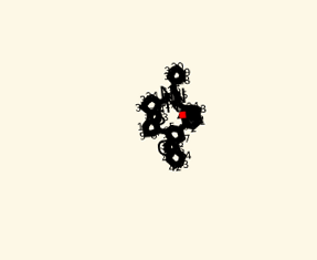 c1ccc(-c2cc(-c3cccc4c3sc3c(-c5nc(-c6ccccc6)nc(-c6ccccc6)n5)cccc34)c3oc4ccccc4c3c2)cc1